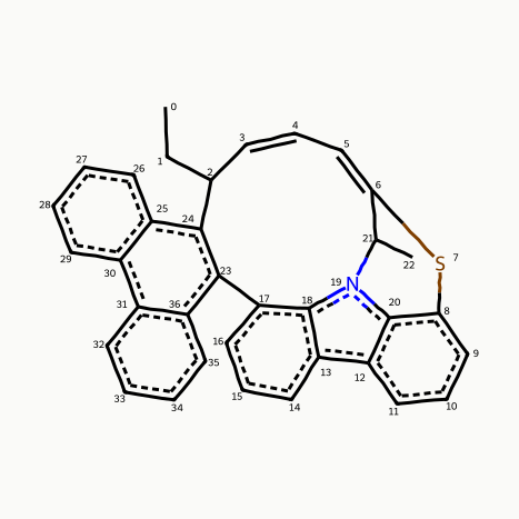 CCC1/C=C\C=C2\Sc3cccc4c5cccc(c5n(c34)C2C)-c2c1c1ccccc1c1ccccc21